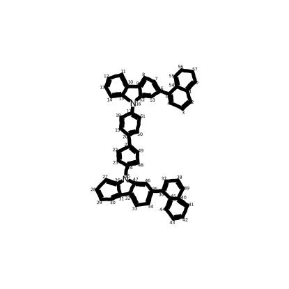 C1=c2cccc(-c3ccc4c5ccccc5n(-c5ccc(-c6ccc(-n7c8ccccc8c8ccc(-c9cccc%10ccccc9%10)cc87)cc6)cc5)c4c3)c2=CCC1